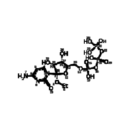 CCO[C@@]1(n2ccc(N)nc2=O)O[C@H](COP(=O)(O)OP(=O)(O)OP(=O)(O)O)[C@@H](O)[C@H]1O